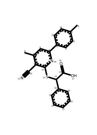 Cc1ccc(-c2cc(C)c(C#N)c(SC(C(=O)O)c3ccccc3)n2)cc1